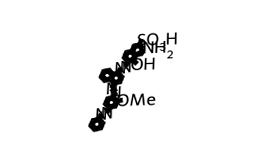 COc1cc(N=Nc2ccccc2)ccc1N=Nc1ccc(N=Nc2ccc3cc(S(=O)(=O)O)c(N)cc3c2O)c2ccccc12